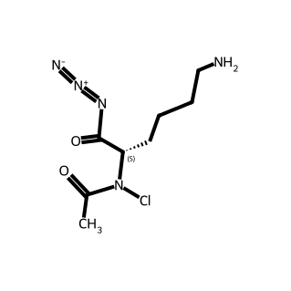 CC(=O)N(Cl)[C@@H](CCCCN)C(=O)N=[N+]=[N-]